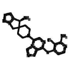 Nc1nccc(Sc2ncc(N3CCC4(CC3)Cn3nccc3[C@H]4N)n3cncc23)c1Cl